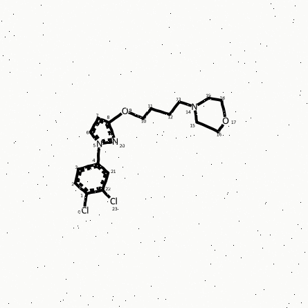 Clc1ccc(-n2ccc(OCCCCN3CCOCC3)n2)cc1Cl